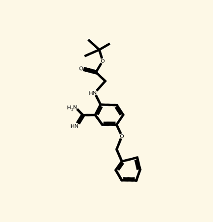 CC(C)(C)OC(=O)CNc1ccc(OCc2ccccc2)cc1C(=N)N